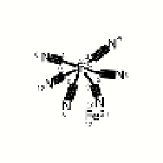 N#[C][Ir-2]([C]#N)([C]#N)([C]#N)([C]#N)[C]#N.[Fe+2]